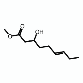 CCC=CCCC(O)CC(=O)OC